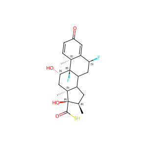 C[C@@H]1CC2C3C[C@H](F)C4=CC(=O)C=C[C@]4(C)[C@@]3(F)[C@@H](O)C[C@]2(C)[C@@]1(O)C(=O)S